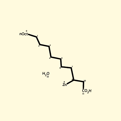 CCCCCCCCCCCCCCC[CH]([Zn])CC(=O)O.O